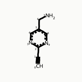 C#Cc1ncc(CN)cn1